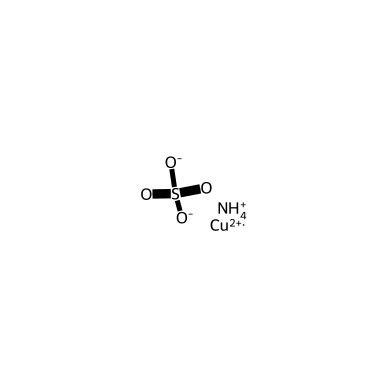 O=S(=O)([O-])[O-].[Cu+2].[NH4+]